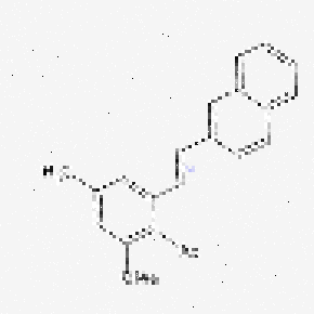 COc1cc(C)cc(/C=C/c2ccc3ccccc3c2)c1C(C)=O